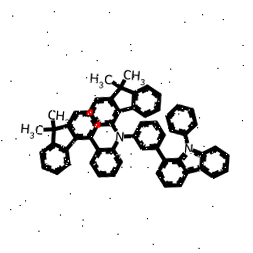 CC1(C)c2ccccc2-c2c(-c3ccccc3N(c3cccc(-c4cccc5c6ccccc6n(-c6ccccc6)c45)c3)c3cccc4c3-c3ccccc3C4(C)C)cccc21